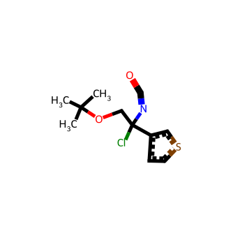 CC(C)(C)OCC(Cl)(N=C=O)c1ccsc1